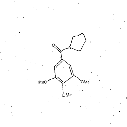 COc1cc(C(=O)N2CCCC2)cc(OC)c1OC